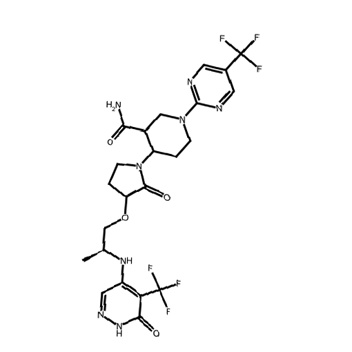 C[C@@H](COC1CCN(C2CCN(c3ncc(C(F)(F)F)cn3)CC2C(N)=O)C1=O)Nc1cn[nH]c(=O)c1C(F)(F)F